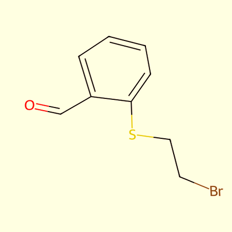 O=Cc1ccccc1SCCBr